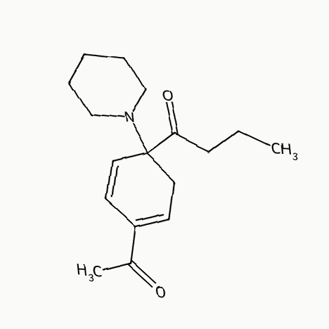 CCCC(=O)C1(N2CCCCC2)C=CC(C(C)=O)=CC1